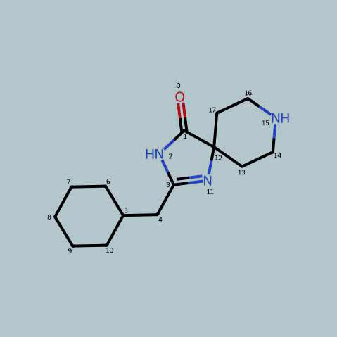 O=C1NC(CC2CCCCC2)=NC12CCNCC2